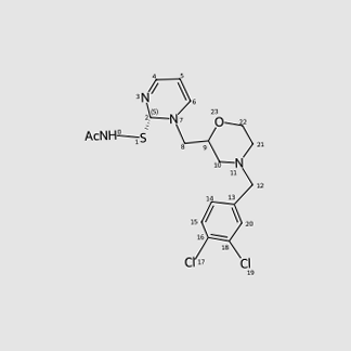 CC(=O)NS[C@@H]1N=CC=CN1CC1CN(Cc2ccc(Cl)c(Cl)c2)CCO1